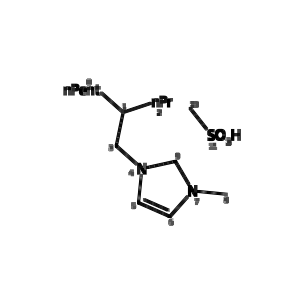 CCCCCC(CCC)CN1C=CN(C)C1.CS(=O)(=O)O